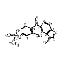 CCc1cc(OS(=O)(=O)C(F)(F)F)ccc1N(C)c1cc2c(cn1)ncn2C